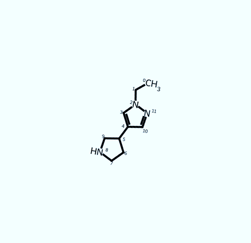 CCn1cc(C2CCNC2)cn1